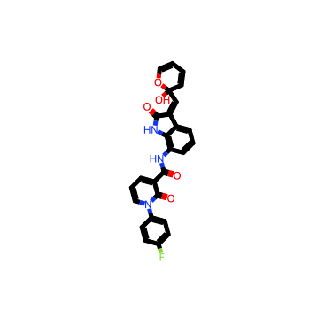 O=C1Nc2c(NC(=O)c3cccn(-c4ccc(F)cc4)c3=O)cccc2C1=CC1(O)C=CC=CO1